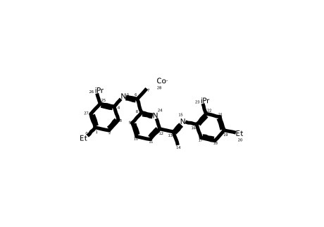 CCc1ccc(N=C(C)c2cccc(C(C)=Nc3ccc(CC)cc3C(C)C)n2)c(C(C)C)c1.[Co]